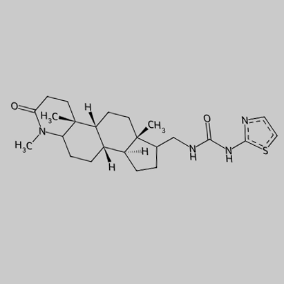 CN1C(=O)CC[C@@]2(C)C1CC[C@@H]1[C@H]2CC[C@]2(C)C(CNC(=O)Nc3nccs3)CC[C@@H]12